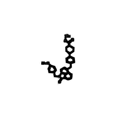 COc1ccc(CN2C(=O)c3cccc4c(Cc5ccc(C6CCN(C(=O)OC(C)(C)C)CC6)cc5)ccc2c34)cc1